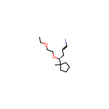 CCOCCO[C@@H](CC=CI)C1(C)CCCC1